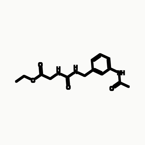 CCOC(=O)CNC(=O)NCc1cccc(NC(C)=O)c1